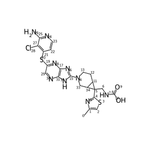 Cc1csc(C2(CNC(=O)O)C3CCN(c4nc5nc(Sc6ccnc(N)c6Cl)cnc5[nH]4)CC32)n1